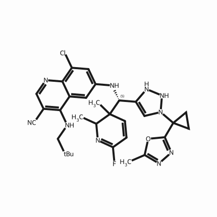 Cc1nnc(C2(N3C=C([C@@H](Nc4cc(Cl)c5ncc(C#N)c(NCC(C)(C)C)c5c4)C4(C)C=CC(F)=NC4C)NN3)CC2)o1